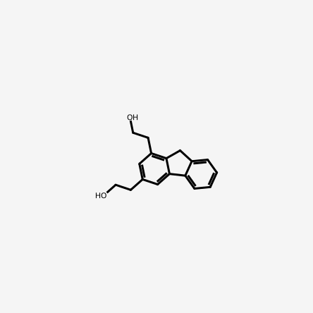 OCCc1cc(CCO)c2c(c1)-c1ccccc1C2